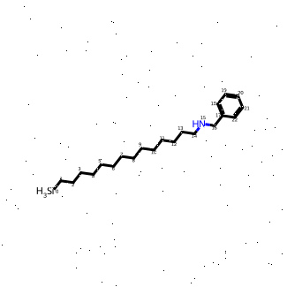 [SiH3]CCCCCCCCCCCCCCNCc1ccccc1